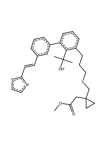 COC(=O)CC1(CSCCCc2cccc(-c3cccc(C=Cc4nccs4)c3)c2C(C)(C)O)CC1